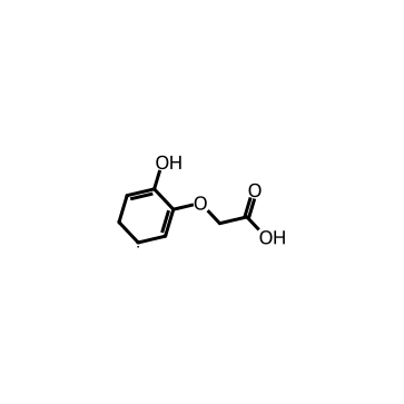 O=C(O)COC1=C[CH]CC=C1O